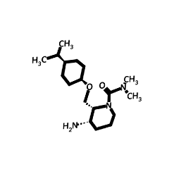 CC(C)[C@H]1CC[C@@H](OC[C@H]2[C@@H](N)CCCN2C(=O)N(C)C)CC1